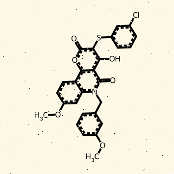 COc1cccc(Cn2c(=O)c3c(O)c(Sc4cccc(Cl)c4)c(=O)oc3c3ccc(OC)cc32)c1